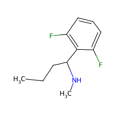 CCCC(NC)c1c(F)cccc1F